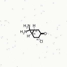 NC1(N)[C@@H]2C[C@@H](Cl)C(=O)C[C@@H]21